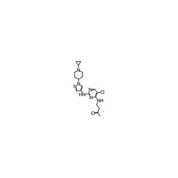 CC(=O)CCNc1nc(Nc2cnn(C3CCN(C4CC4)CC3)c2)ncc1Cl